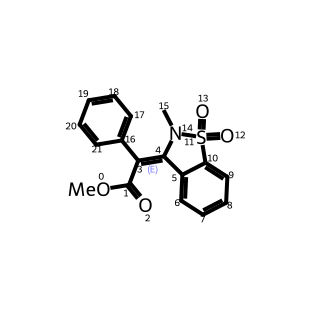 COC(=O)/C(=C1\c2ccccc2S(=O)(=O)N1C)c1ccccc1